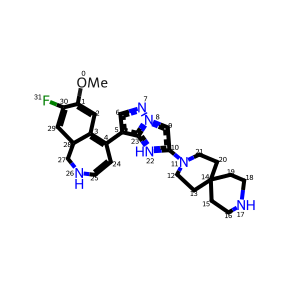 COC1=CC2=C(c3cnn4cc(N5CCC6(CCNCC6)CC5)[nH]c34)C=CNCC2C=C1F